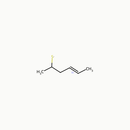 C/C=C/CC(C)[S]